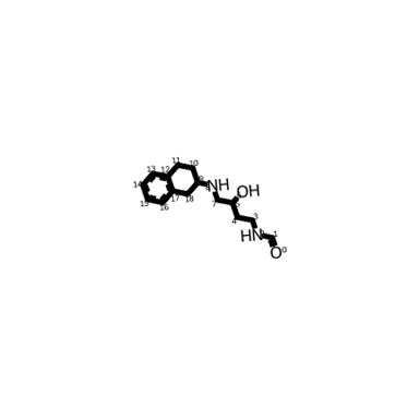 O=CNCCC(O)CNC1CCc2ccccc2C1